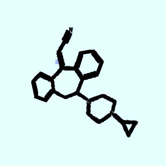 N#C/C=C1/c2ccccc2CC(N2CCN(C3CC3)CC2)c2ccccc21